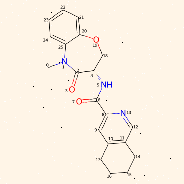 CN1C(=O)[C@@H](NC(=O)c2cc3c(cn2)CCCC3)COc2ccccc21